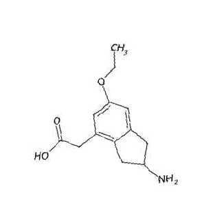 CCOc1cc(CC(=O)O)c2c(c1)CC(N)C2